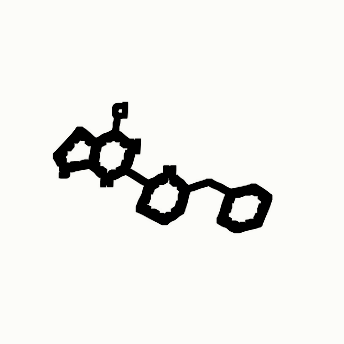 Clc1nc(-c2cccc(Cc3ccccc3)n2)nc2sccc12